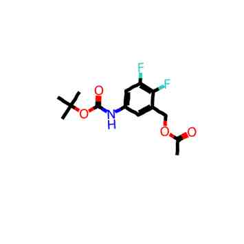 CC(=O)OCc1cc(NC(=O)OC(C)(C)C)cc(F)c1F